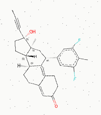 CC#C[C@]1(O)CC[C@H]2[C@@H]3CCC4=CC(=O)CCC4=C3[C@@H](c3cc(F)c(C)c(F)c3)C[C@@]21C